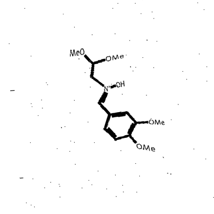 COc1ccc(C=[N+](O)CC(OC)OC)cc1OC